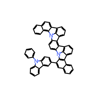 c1ccc(-n2c3ccccc3c3cc(-c4cc5ccccc5c5c6cccc7c8c9c%10cccc%11c%12ccc%13ccccc%13c%12n(c9ccc8n(c45)c76)c%11%10)ccc32)cc1